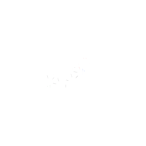 C=Cc1c(Cl)cc(C(/C=C(\F)c2ccc(C(=O)NC(C)CS(=O)(=O)CC(F)(F)F)c(C(F)(F)F)c2)C(F)(F)F)cc1Cl